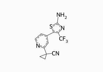 N#CC1(c2cc(-c3sc(N)nc3C(F)(F)F)ccn2)CC1